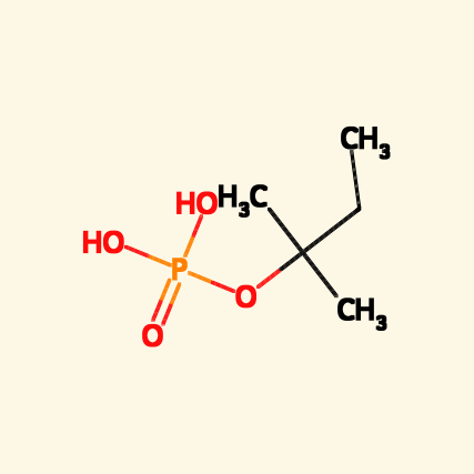 CCC(C)(C)OP(=O)(O)O